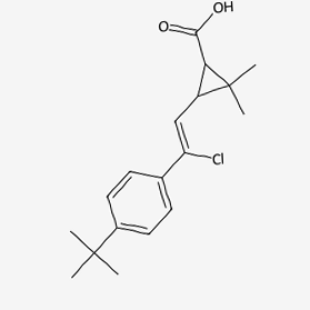 CC(C)(C)c1ccc(/C(Cl)=C/C2C(C(=O)O)C2(C)C)cc1